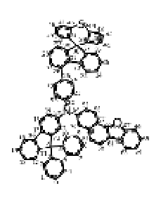 c1ccc(C2(c3ccccc3)c3ccccc3-c3ccc(N(c4ccc(-c5cccc6c5-c5ccccc5C65c6ccccc6Sc6ccccc65)cc4)c4ccc5c(ccc6c7ccccc7oc56)c4)cc32)cc1